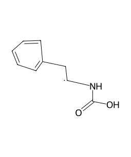 O=C(O)N[CH]Cc1ccccc1